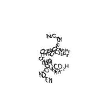 CCCC(C(=O)O)N(CCC)Cc1cc(Cl)c(OCc2cccc(-c3cccc(COc4cc(OCc5cncc(C#N)c5)c(CN(CCC)C(CCO)C(=O)O)cc4Cl)c3C)c2C)cc1OCc1cncc(C#N)c1